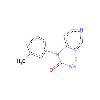 Cc1cccc(N2C(=O)NSc3cnccc32)c1